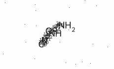 N[C@@H]1C[C@H]1c1ccc(NC(=O)c2ccc(N3CCOCC3)cc2)cc1